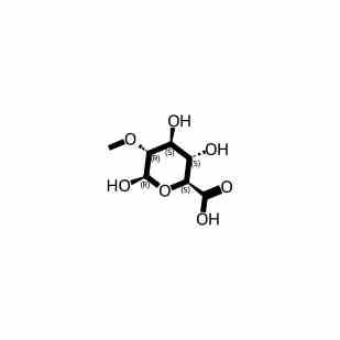 CO[C@@H]1[C@@H](O)[C@H](O)[C@@H](C(=O)O)O[C@H]1O